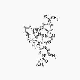 C=CC(=O)N1CC(C)N(c2nc(=O)n(-c3ccc([S+](C)[O-])cc3C(C)C)c3nc(-c4ccccc4F)c(Cl)cc23)CC1C